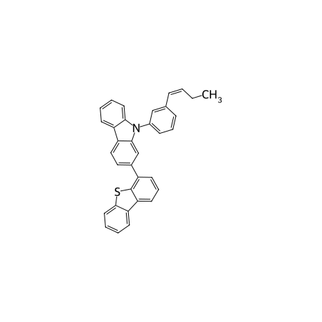 CC/C=C\c1cccc(-n2c3ccccc3c3ccc(-c4cccc5c4sc4ccccc45)cc32)c1